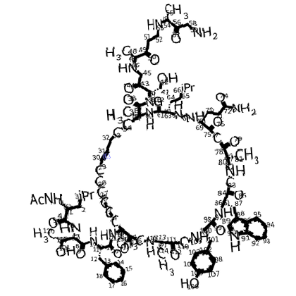 CC(=O)N[C@@H](CC(C)C)C(=O)N[C@H](C(=O)N[C@@H](Cc1ccccc1)C(=O)N[C@]1(C)CCCCCC/C=C/CCC[C@@](C)(C(=O)N[C@@H](CO)C(=O)CN[C@@H](C)C(=O)CCN[C@@H](C)C(=O)CN)NC(=O)[C@H](CCC(C)C)NN[C@@H](CCC(N)=O)C(=O)CC(=O)[C@H](C)NCC(=O)[C@H](Cc2c[nH]c3ccccc23)NC(=O)[C@H](Cc2ccc(O)cc2)NCC(=O)[C@H](C)NCC1=O)[C@@H](C)O